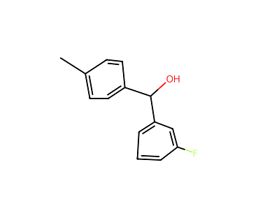 Cc1ccc(C(O)c2cccc(F)c2)cc1